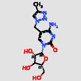 Cc1cn(Cc2cn([C@@H]3O[C@H](CO)C(O)[C@@H]3O)c(=O)nc2N)nn1